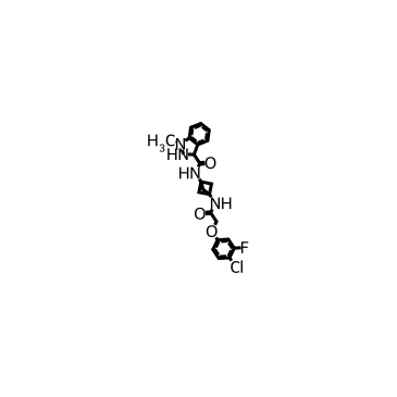 CN1NC(C(=O)NC23CC(NC(=O)COc4ccc(Cl)c(F)c4)(C2)C3)c2ccccc21